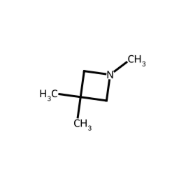 CN1CC(C)(C)C1